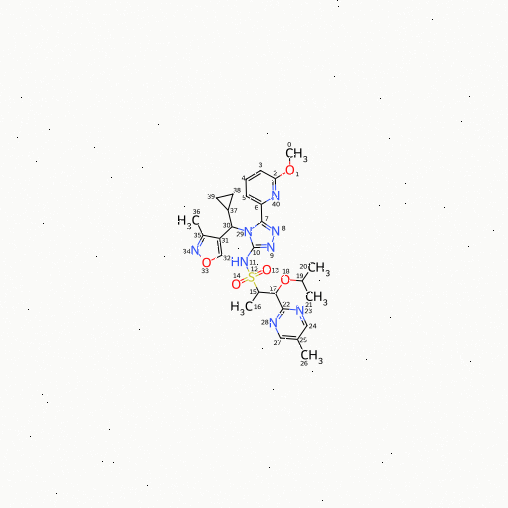 COc1cccc(-c2nnc(NS(=O)(=O)C(C)C(OC(C)C)c3ncc(C)cn3)n2C(c2conc2C)C2CC2)n1